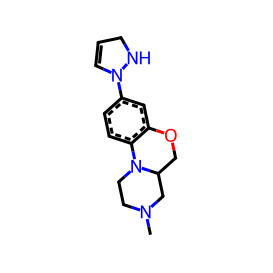 CN1CCN2c3ccc(N4C=CCN4)cc3OCC2C1